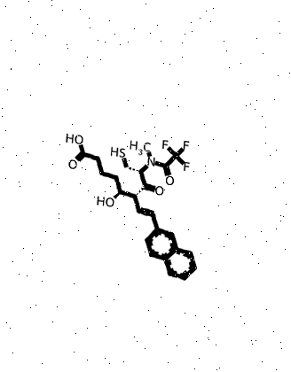 CN(C(=O)C(F)(F)F)[C@@H](CS)C(=O)[C@H](/C=C/c1ccc2ccccc2c1)[C@@H](O)CCCC(=O)O